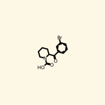 O=C(c1cccc(Br)c1)C1CCCCN1C(=O)O